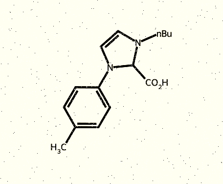 CCCCN1C=CN(c2ccc(C)cc2)C1C(=O)O